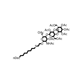 CCCCCCCCCCCCCCCCCCSCCO[C@@H]1O[C@H](COC(C)=O)[C@@H](O[C@@H]2O[C@H](COC(C)=O)[C@H](O[C@H]3O[C@H](COC(C)=O)[C@H](OC(C)=O)[C@H](OC(C)=O)[C@H]3OC(C)=O)[C@H](OC(C)=O)[C@H]2OC(C)=O)[C@H](OC(C)=O)[C@H]1NC(C)=O